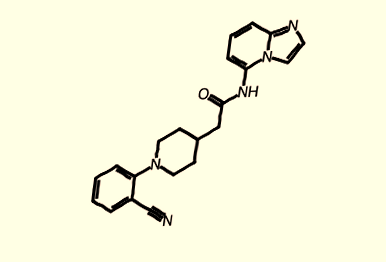 N#Cc1ccccc1N1CCC(CC(=O)Nc2cccc3nccn23)CC1